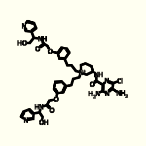 Nc1nc(N)c(C(=O)N[C@H]2CCC[N+](CCCc3cccc(OCC(=O)NC(CO)c4cccnc4)c3)(CCCc3cccc(OCC(=O)NC(CO)c4cccnc4)c3)C2)nc1Cl